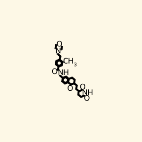 Cc1cc(C(=O)NCc2ccc3c(c2)CCC(CCC2CCC(=O)NC2=O)C3=O)ccc1CCN1CCOCC1